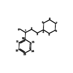 CC(CC[C]1CCCCC1)c1ccccc1